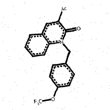 CC(=O)c1cc2ccccc2n(Cc2ccc(OC(F)(F)F)cc2)c1=O